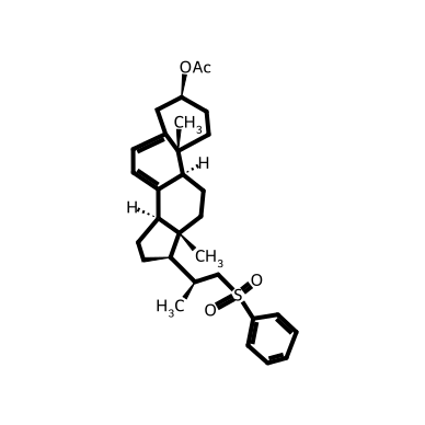 CC(=O)O[C@H]1CC[C@@]2(C)C(=CC=C3[C@@H]4CC[C@H]([C@H](C)CS(=O)(=O)c5ccccc5)[C@@]4(C)CC[C@@H]32)C1